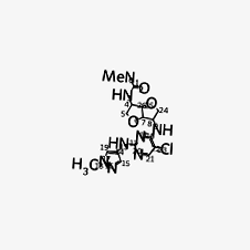 CNC(=O)NC1COC2C(Nc3nc(Nc4cnn(C)c4)ncc3Cl)COC12